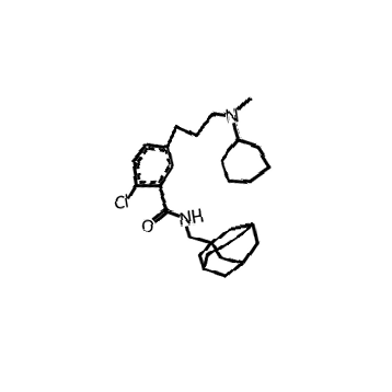 CN(CCCc1ccc(Cl)c(C(=O)NCC23CC4CC(CC(C4)C2)C3)c1)C1CCCCC1